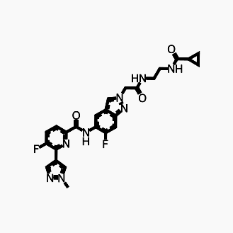 Cn1cc(-c2nc(C(=O)Nc3cc4cn(CC(=O)NCCNC(=O)C5CC5)nc4cc3F)ccc2F)cn1